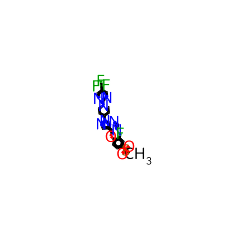 CS(=O)(=O)c1ccc(Oc2ncnc3c2cnn3C2CCN(c3ncc(C(F)(F)F)cn3)CC2)c(F)c1